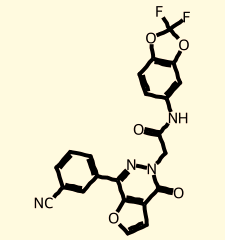 N#Cc1cccc(-c2nn(CC(=O)Nc3ccc4c(c3)OC(F)(F)O4)c(=O)c3ccoc23)c1